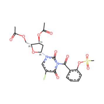 CC(=O)OC[C@H]1O[C@@H](n2cc(F)c(=O)n(C(=O)c3ccccc3OS(C)(=O)=O)c2=O)C[C@@H]1OC(C)=O